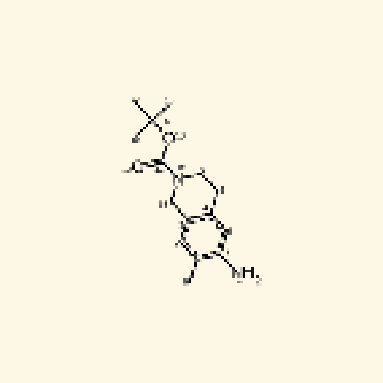 Cc1cc2c(cc1N)CCN(C(=O)OC(C)(C)C)C2